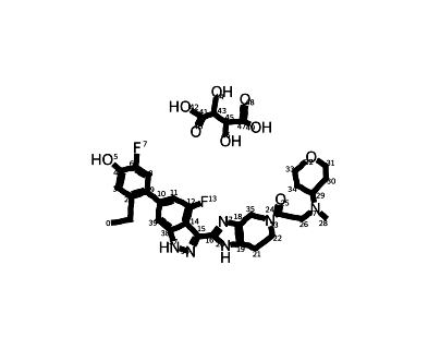 CCc1cc(O)c(F)cc1-c1cc(F)c2c(-c3nc4c([nH]3)CCN(C(=O)CN(C)C3CCOCC3)C4)n[nH]c2c1.O=C(O)C(O)C(O)C(=O)O